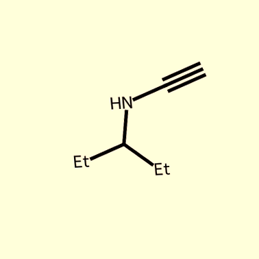 C#CNC(CC)CC